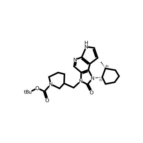 C[C@@H]1CCCC[C@@H]1n1c(=O)n(CC2CCCN(C(=O)OC(C)(C)C)C2)c2cnc3[nH]ccc3c21